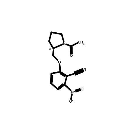 CC(=O)N1CCC[C@@H]1COc1cccc([N+](=O)[O-])c1C#N